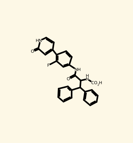 O=C(O)NC(C(=O)Nc1ccc(-c2cc[nH]c(=O)c2)c(F)c1)C(c1ccccc1)c1ccccc1